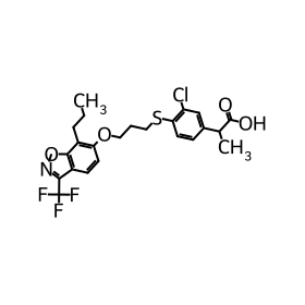 CCCc1c(OCCCSc2ccc(C(C)C(=O)O)cc2Cl)ccc2c(C(F)(F)F)noc12